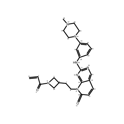 C=CC(=O)N1CC(CCn2c(=O)ccc3cnc(Nc4cccc(N5CCN(C)CC5)c4)nc32)C1